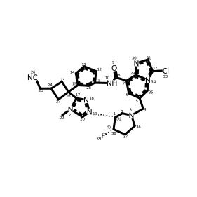 C[C@@H]1CN(Cc2cc(C(=O)Nc3cccc(C4(c5nncn5C)CC(CC#N)C4)c3)c3ncc(Cl)n3c2)CC[C@@H]1F